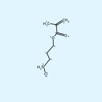 C=C(C)C(=O)OCCC[SiH2]Cl